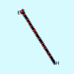 CCOS(=S)(=S)SSSSSSSSSSSSSSSSSSSSSSSSSSSSSSSSSSSSSSSSSSSSSSSSSSSSSSSSSSSSSSSSSSSSSSSSS